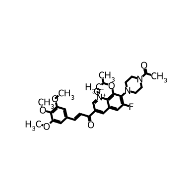 COc1cc(C=CC(=O)c2cc3cc(F)c(N4CCN(C(C)=O)CC4)c(OC(C)C)c3[n+]([O-])c2)cc(OC)c1OC